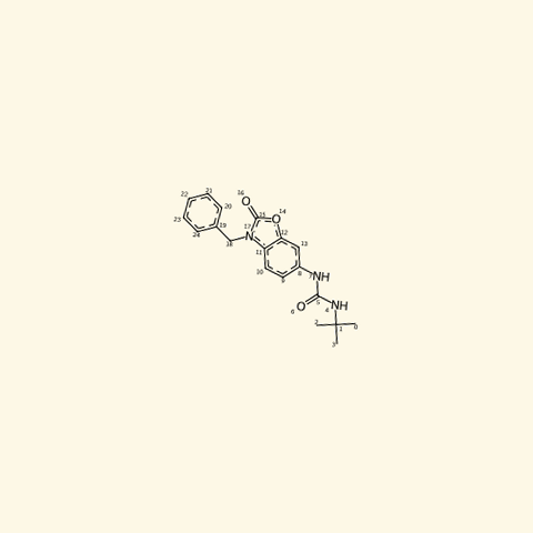 CC(C)(C)NC(=O)Nc1ccc2c(c1)oc(=O)n2Cc1ccccc1